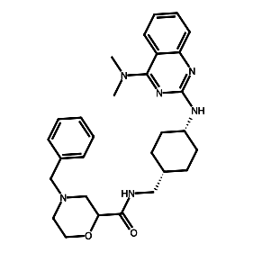 CN(C)c1nc(N[C@H]2CC[C@@H](CNC(=O)C3CN(Cc4ccccc4)CCO3)CC2)nc2ccccc12